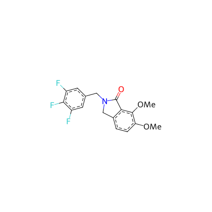 COc1ccc2c(c1OC)C(=O)N(Cc1cc(F)c(F)c(F)c1)C2